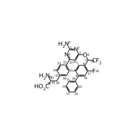 Nc1nc(OC(c2ccc(-c3ccccc3)cc2F)C(F)(F)F)cc(-c2ccc(C[C@H](N)C(=O)O)cc2)n1